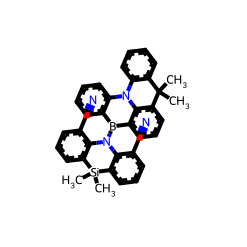 CC1(C)c2ccccc2N2c3ccccc3B(N3c4c(C#N)cccc4[Si](C)(C)c4cccc(C#N)c43)c3cccc1c32